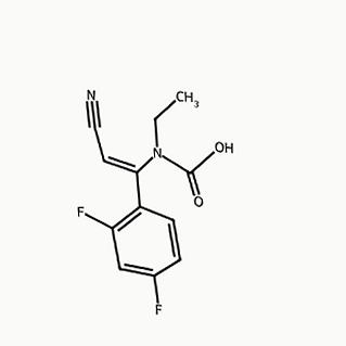 CCN(C(=O)O)/C(=C\C#N)c1ccc(F)cc1F